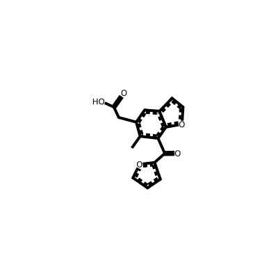 Cc1c(CC(=O)O)cc2ccoc2c1C(=O)c1ccco1